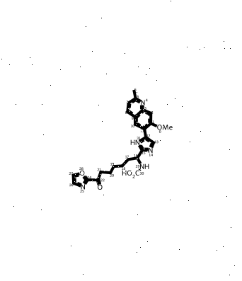 COc1cc2nc(C)ccc2cc1-c1cnc(C(CCCCCC(=O)c2ncco2)NC(=O)O)[nH]1